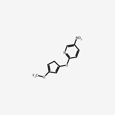 O=[N+]([O-])c1ccc(OC2=CC(OC(F)(F)F)=CC2)nc1